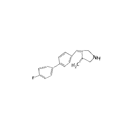 C=C1CNCC1=Cc1ccc(-c2ccc(F)cc2)cc1